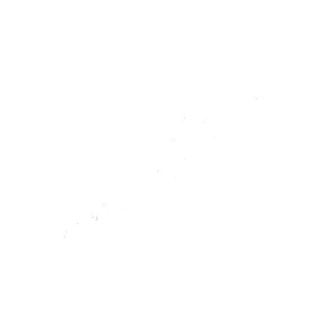 CCOC(=O)c1ccc(CCCCCNNC(=O)O)cc1